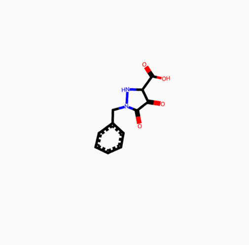 O=C(O)C1NN(Cc2ccccc2)C(=O)C1=O